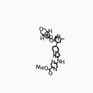 COC(=O)c1cnc(Nc2cc3cc(-c4cc(C)ncc4O[C@H]4C[C@H]5COC[C@@H](C4)N5C(=O)O)ccn3n2)cn1